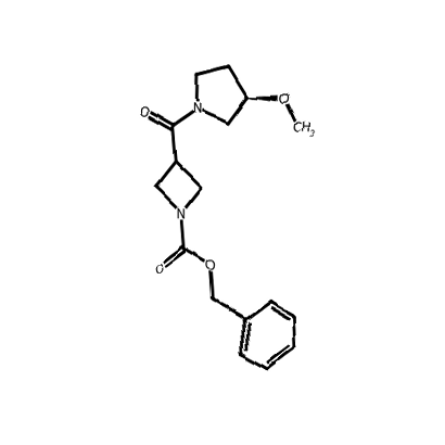 CO[C@@H]1CCN(C(=O)C2CN(C(=O)OCc3ccccc3)C2)C1